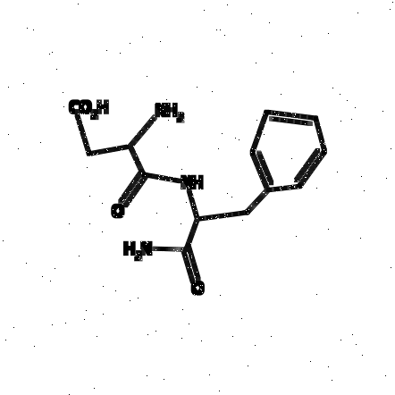 NC(=O)C(Cc1ccccc1)NC(=O)C(N)CC(=O)O